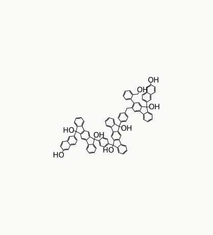 OCc1ccccc1-c1cc2c(cc1Cc1ccc(C3(O)c4ccccc4-c4cc5c(cc43)-c3ccccc3C5(O)c3ccc(C4(O)c5ccccc5-c5cc6c(cc54)-c4ccccc4C6(O)c4ccc5cc(O)ccc5c4)cc3)cc1)-c1ccccc1C2(O)c1ccc2cc(O)ccc2c1